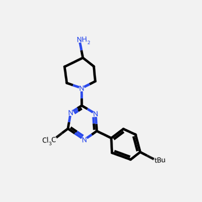 CC(C)(C)c1ccc(-c2nc(N3CCC(N)CC3)nc(C(Cl)(Cl)Cl)n2)cc1